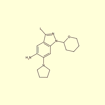 Nc1cc2c(I)nn(C3CCCCO3)c2cc1N1CCCC1